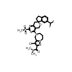 CN(C)C(=O)c1nn2c(c1Cl)CN(c1nc(S(C)(=O)=O)nc3c1COC1(CCc4ccc(C(F)F)cc41)C3)CCC2